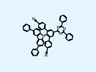 N#Cc1ccc(-c2cc(-c3nc(-c4ccccc4)nc(-c4ccccc4)n3)cc(-c3ccc(C#N)cc3)c2-n2c3ccc(-c4ccccc4)cc3c3cc(-c4ccccc4)ccc32)cc1